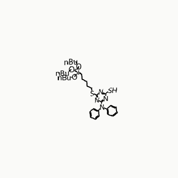 CCCCO[Si](CCCCCSc1nc(S)nc(N(c2ccccc2)c2ccccc2)n1)(OCCCC)OCCCC